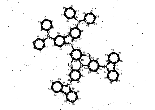 c1ccc(N(c2ccccc2)c2ccc3c(c2)c2cc(N(c4ccccc4)c4ccccc4)ccc2n3-c2cc3c4c(c2)Oc2cc(-n5c6ccccc6c6ccccc65)ccc2B4c2ccc(-n4c5ccccc5c5ccccc54)cc2O3)cc1